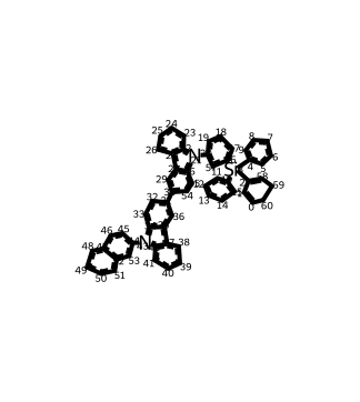 C1=CC([Si](c2ccccc2)(c2ccccc2)c2cccc(-n3c4ccccc4c4cc(-c5ccc6c(c5)c5ccccc5n6-c5ccc6ccccc6c5)ccc43)c2)=CCC1